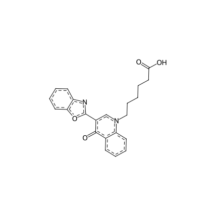 O=C(O)CCCCCn1cc(-c2nc3ccccc3o2)c(=O)c2ccccc21